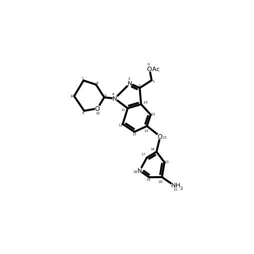 CC(=O)OCc1nn(C2CCCCO2)c2ccc(Oc3cncc(N)c3)cc12